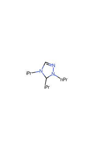 CCCN1N=CN(C(C)C)C1C(C)C